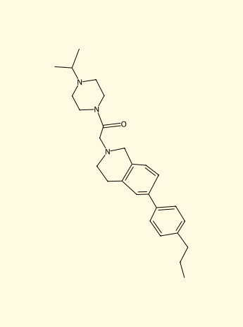 CCCc1ccc(-c2ccc3c(c2)CCN(CC(=O)N2CCN(C(C)C)CC2)C3)cc1